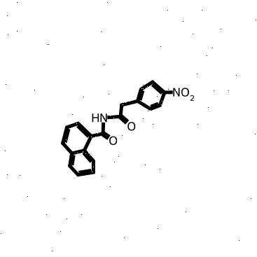 O=C(Cc1ccc([N+](=O)[O-])cc1)NC(=O)c1cccc2ccccc12